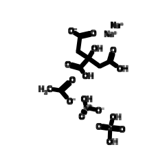 CC(=O)[O-].O=C([O-])CC(O)(CC(=O)O)C(=O)O.O=S(=O)(O)O.O=[N+]([O-])O.[Na+].[Na+]